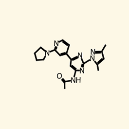 CC(=O)Nc1cc(-c2ccnc(N3CCCC3)c2)nc(-n2nc(C)cc2C)n1